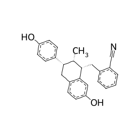 C[C@H]1[C@@H](c2ccc(O)cc2)Cc2ccc(O)cc2[C@H]1Cc1ccccc1C#N